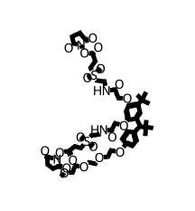 COCCOCCOCCOc1ccc(C(c2cc(C(C)(C)C)c(OCC(=O)NCCS(=O)(=O)CCC(=O)ON3C(=O)CCC3=O)cc2OCC(=O)NCCS(=O)(=O)CCC(=O)ON2C(=O)CCC2=O)C(C)(C)C)cc1